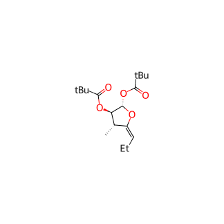 CC/C=C1/O[C@@H](OC(=O)C(C)(C)C)[C@H](OC(=O)C(C)(C)C)[C@H]1C